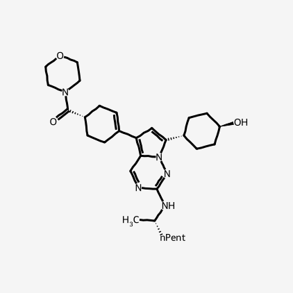 CCCCC[C@H](C)Nc1ncc2c(C3=CC[C@@H](C(=O)N4CCOCC4)CC3)cc([C@H]3CC[C@H](O)CC3)n2n1